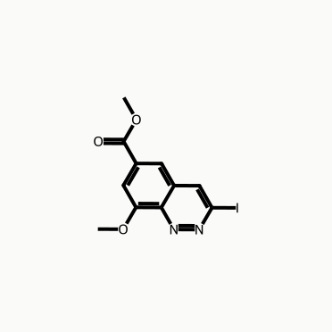 COC(=O)c1cc(OC)c2nnc(I)cc2c1